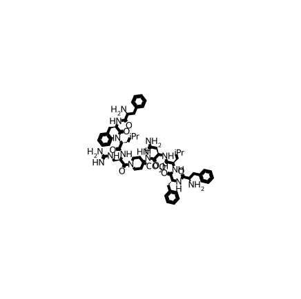 CC(C)C[C@@H](NC(=O)[C@@H](Cc1ccccc1)NC(=O)[C@H](N)Cc1ccccc1)C(=O)N[C@H](CC(=N)N)C(=O)NC1(C(=O)O)CCN(C(=O)[C@@H](CNC(=N)N)NC(=O)[C@@H](CC(C)C)NC(=O)[C@@H](Cc2ccccc2)NC(=O)[C@H](N)Cc2ccccc2)CC1